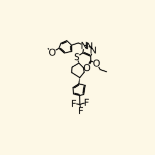 CCOC(=O)c1nnn(Cc2ccc(OC)cc2)c1S[C@H]1CC[C@@H](c2ccc(C(F)(F)F)cc2)CC1